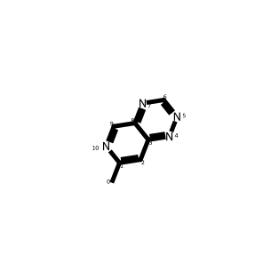 Cc1cc2nncnc2cn1